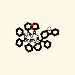 c1ccc(B2SB(C(c3ccccc3)(c3ccccc3)c3ccc4oc5ccccc5c4c3)SB3N2B(c2ccccc2)N(c2ccccc2)B(c2ccccc2)N3c2ccccc2)cc1